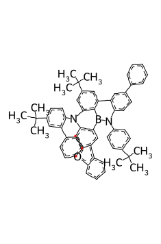 CC(C)(C)c1ccc(N2B3c4cc5c(cc4N(c4ccc(C(C)(C)C)cc4-c4ccccc4)c4cc(C(C)(C)C)cc(c43)-c3cc(-c4ccccc4)ccc32)oc2ccccc25)cc1